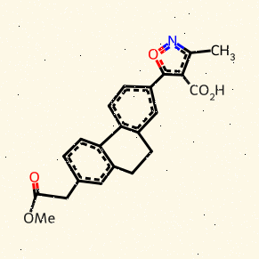 COC(=O)Cc1ccc2c(c1)CCc1cc(-c3onc(C)c3C(=O)O)ccc1-2